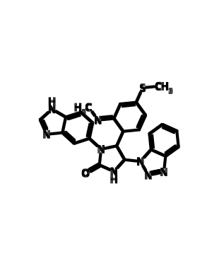 CN=C1C=C(SC)C=CC1C1C(n2nnc3ccccc32)NC(=O)N1c1ccc2[nH]cnc2c1